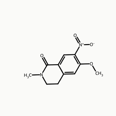 COc1cc2c(cc1[N+](=O)[O-])C(=O)N(C)CC2